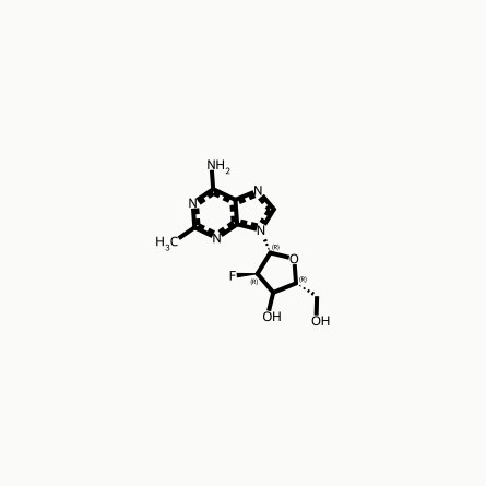 Cc1nc(N)c2ncn([C@@H]3O[C@H](CO)C(O)[C@H]3F)c2n1